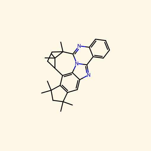 CC1(C)CC(C)(C)c2c1cc1nc3c4ccccc4nc4n3c1c2C1CCC4(C)C1(C)C